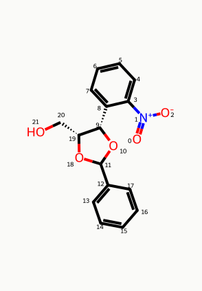 O=[N+]([O-])c1ccccc1[C@@H]1OC(c2ccccc2)O[C@@H]1CO